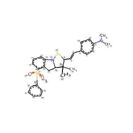 CN(C)c1ccc(C=CC2SN3c4cccc(S(=O)(=O)c5ccccc5)c4CC3C2(C)C)cc1